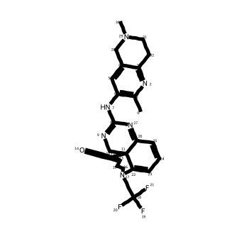 Cc1nc2c(cc1NC1=NCC34CC(=O)CCN(C(F)(F)F)C3=CC=CC4=N1)CN(C)CC2